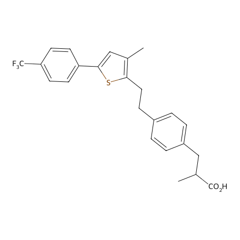 Cc1cc(-c2ccc(C(F)(F)F)cc2)sc1CCc1ccc(CC(C)C(=O)O)cc1